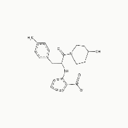 Cc1ccc(CC(Nc2ccccc2[N+](=O)[O-])C(=O)N2CCC(O)CC2)cc1